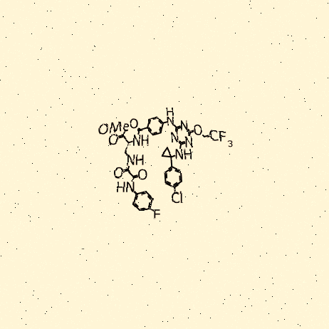 COC(=O)[C@H](CNC(=O)C(=O)Nc1ccc(F)cc1)NC(=O)c1ccc(Nc2nc(NC3(c4ccc(Cl)cc4)CC3)nc(OCC(F)(F)F)n2)cc1